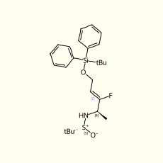 C[C@@H](N[S@+]([O-])C(C)(C)C)/C(F)=C/CO[Si](c1ccccc1)(c1ccccc1)C(C)(C)C